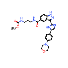 CC(C)(C)OC(=O)NCCCNC(=O)c1ccc2[nH]nc(-c3ncc(-c4ccc(N5CCOCC5)cc4)[nH]3)c2c1